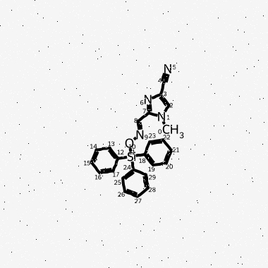 Cn1cc(C#N)nc1/C=N/O[Si](c1ccccc1)(c1ccccc1)c1ccccc1